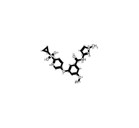 CC(C)Oc1cc(Oc2ccc(S(=O)(=O)C3CC3)nc2)cc(C(=O)Nc2ccn(C)n2)c1